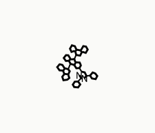 c1ccc(-c2cc(-c3ccc4c(-c5cc6ccccc6c6ccccc56)c5ccccc5c(-c5cc6ccccc6c6ccccc56)c4c3)nc(-c3ccccc3)n2)cc1